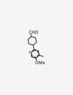 COc1cnc(C2CCC(C=O)CC2)cc1C